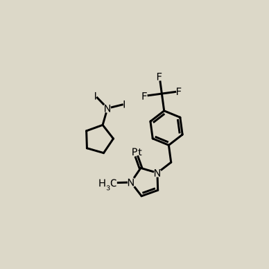 Cn1ccn(Cc2ccc(C(F)(F)F)cc2)[c]1=[Pt].IN(I)C1CCCC1